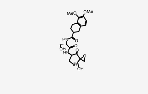 COc1ccc2c(c1OC)CCC(C(=O)N[C@@H](CO)C(=O)NC(CC(C)C)C(=O)C1(CO)CO1)C2